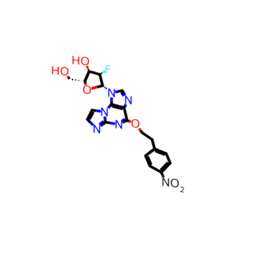 O=[N+]([O-])c1ccc(CCOc2nc3nccn3c3c2ncn3[C@@H]2O[C@H](CO)[C@@H](O)[C@H]2F)cc1